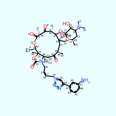 CC[C@H]1OC(=O)[C@H](C)C(=O)[C@H](C)[C@@H](O[C@@H]2O[C@H](C)CC(N(C)C)C2O)[C@](C)(OC)C[C@@H](C)C(=O)[C@H](C)[C@H]2N(C/C=C\Cn3cc(-c4cccc(N)c4)nn3)C(=O)O[C@]12C